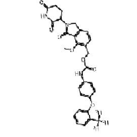 [2H]C([2H])([2H])c1ccccc1Oc1ccc(NC(=O)OCc2ccc3c(c2OC)C(=O)N(C2CCC(=O)NC2=O)C3)cc1